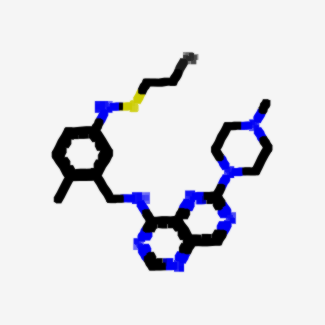 Cc1ccc(NSCCC(C)C)cc1CNc1ncnc2cnc(N3CCN(C)CC3)nc12